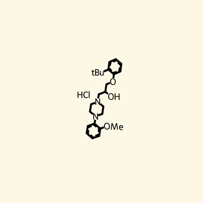 COc1ccccc1N1CCN(CC(O)COc2ccccc2C(C)(C)C)CC1.Cl